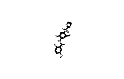 COc1ccc(F)c([C@H](C)Nc2cc(F)c(S(=O)(=O)c3n[c]cs3)cc2Cl)c1